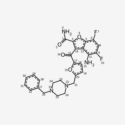 NC(=O)c1oc2c(F)cc(F)c(N)c2c1C(=O)c1ccc(CN2CCN(Cc3ccccc3)CC2)o1